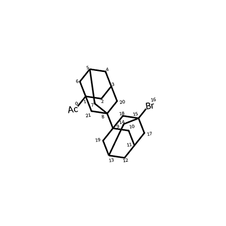 CC(=O)C12CC3CC(C1)CC(C14CC5CC(CC(Br)(C5)C1)C4)(C3)C2